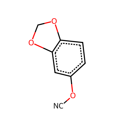 N#COc1ccc2c(c1)OCO2